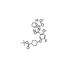 COC(=O)[C@H]1[C@@H]2CC[C@@H](C2)[C@H]1NC(=O)c1cc(OC2CCC(C(=O)OC(C)(C)C)CC2)c(F)cc1OC